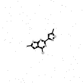 Cc1cc(-c2nc(Cl)c3cc(C)sc3n2)no1